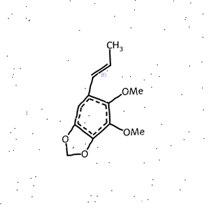 C/C=C/c1cc2c(c(OC)c1OC)OCO2